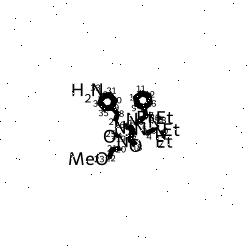 CCN(CC)C(Cn1c(Cc2ccccc2)nc2c1c(=O)n(CCCOC)c(=O)n2CCc1ccc(N)cc1)N(CC)CC